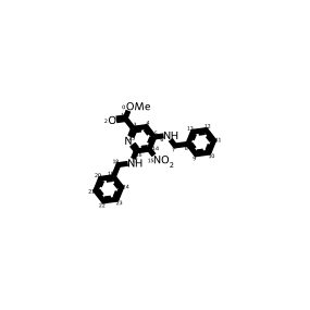 COC(=O)c1cc(NCc2ccccc2)c([N+](=O)[O-])c(NCc2ccccc2)n1